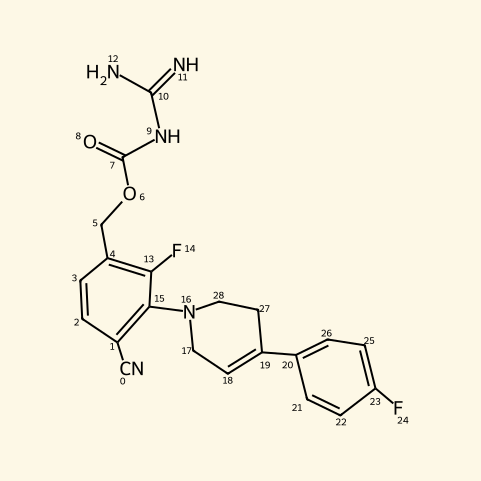 N#Cc1ccc(COC(=O)NC(=N)N)c(F)c1N1CC=C(c2ccc(F)cc2)CC1